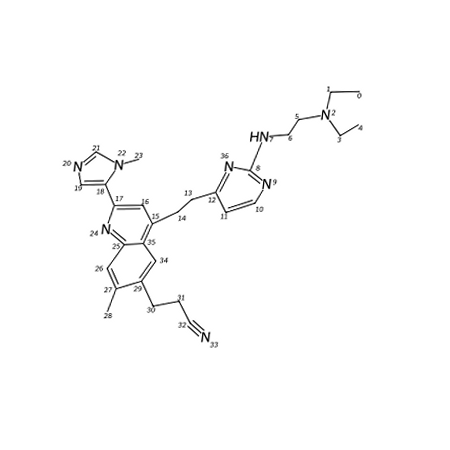 CCN(CC)CCNc1nccc(CCc2cc(-c3cncn3C)nc3cc(C)c(CCC#N)cc23)n1